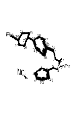 CC#N.CCCN(CCc1ccccc1)C(C)CCc1ccc(C2CCC(F)CC2)cc1